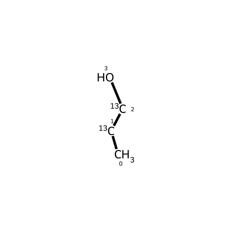 C[13CH2][13CH2]O